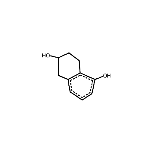 Oc1cccc2c1CCC(O)C2